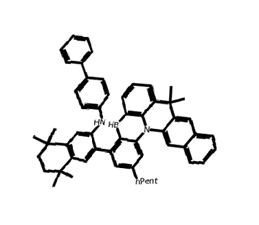 CCCCCc1cc(-c2cc3c(cc2Nc2ccc(-c4ccccc4)cc2)C(C)(C)CCC3(C)C)c2c(c1)N1c3cc4ccccc4cc3C(C)(C)c3cccc(c31)B2